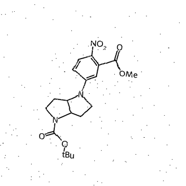 COC(=O)c1cc(N2CCC3C2CCN3C(=O)OC(C)(C)C)ccc1[N+](=O)[O-]